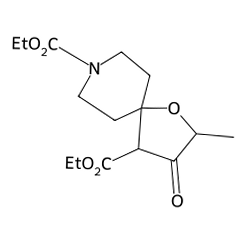 CCOC(=O)C1C(=O)C(C)OC12CCN(C(=O)OCC)CC2